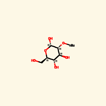 CCCCO[C@@H]1[C@@H](O)[C@H](O)[C@@H](CO)O[C@@H]1O